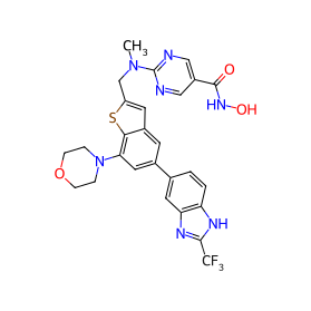 CN(Cc1cc2cc(-c3ccc4[nH]c(C(F)(F)F)nc4c3)cc(N3CCOCC3)c2s1)c1ncc(C(=O)NO)cn1